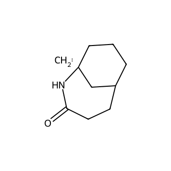 O=C1CCC2CCCC(C2)N1.[CH2]